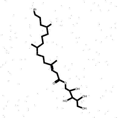 C/C(=C\CC(=O)OCC(O)C(O)C(O)CO)CCCC(C)CCCC(C)CCCC(C)C